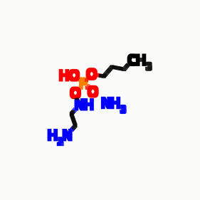 CCCCOP(=O)(O)ONCCN.N